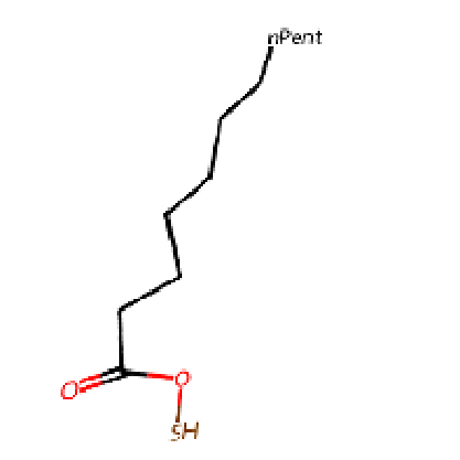 CCCCCCCCCCCC(=O)OS